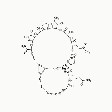 CC[C@H](C)[C@@H]1NC(=O)[C@H](C)NC(=O)[C@H](CC[S+](C)[O-])NC(=O)[C@@H]2CCCN2C(=O)[C@@H]2CSCc3cc(cc(c3)OCCCCCCO/N=C/C(=O)N[C@@H](CCCC(N)=O)C(=O)N2)CSC[C@@H](C(N)=O)NC(=O)[C@H]([C@@H](C)O)NC(=O)[C@@H]2CCCN2C1=O